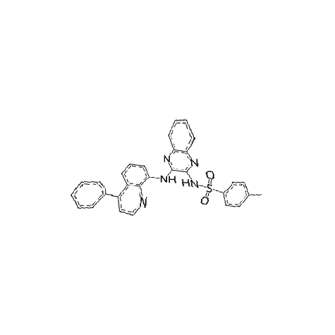 Cc1ccc(S(=O)(=O)Nc2nc3ccccc3nc2Nc2cccc3c(-c4ccccc4)ccnc23)cc1